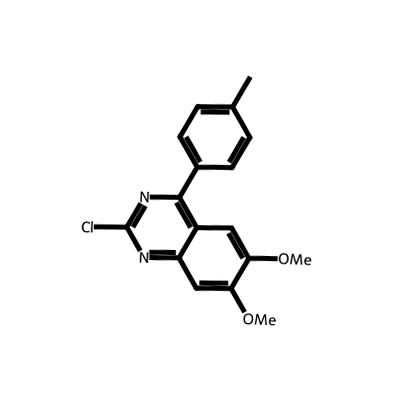 COc1cc2nc(Cl)nc(-c3ccc(C)cc3)c2cc1OC